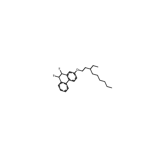 CCCCCCC(CC)CCOc1ccc2c(c1)C(F)C(F)c1ccccc1-2